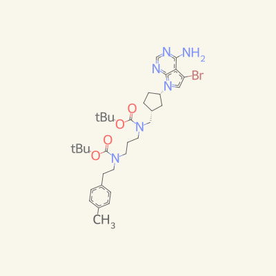 Cc1ccc(CCN(CCCN(C[C@@H]2CC[C@H](n3cc(Br)c4c(N)ncnc43)C2)C(=O)OC(C)(C)C)C(=O)OC(C)(C)C)cc1